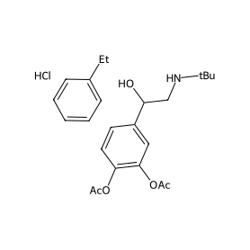 CC(=O)Oc1ccc(C(O)CNC(C)(C)C)cc1OC(C)=O.CCc1ccccc1.Cl